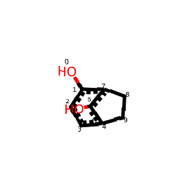 Oc1ccc2c(O)c1CC2